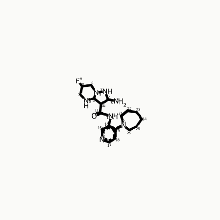 NC1NN2CC(F)CNC2C1C(=O)Nc1cnccc1N1CCCCCC1